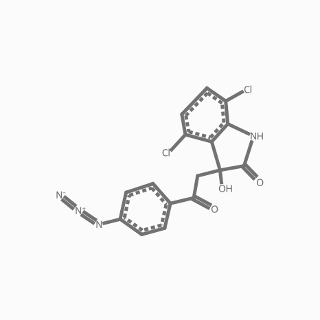 [N-]=[N+]=Nc1ccc(C(=O)CC2(O)C(=O)Nc3c(Cl)ccc(Cl)c32)cc1